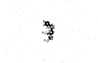 COc1nc(C2=NOCC(c3ccc(F)c(F)c3)N2)ccc1-n1cnc(C)c1